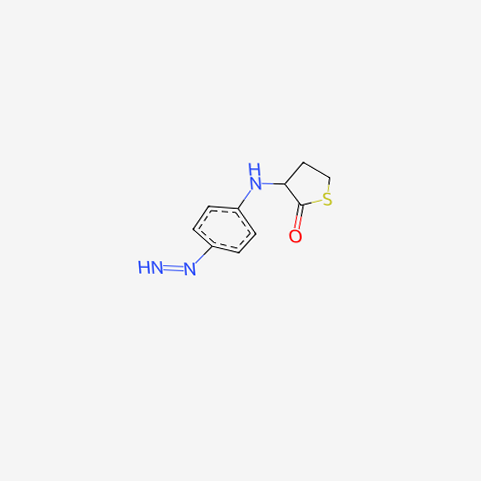 N=Nc1ccc(NC2CCSC2=O)cc1